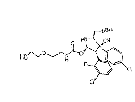 CC(C)(C)C[C@@H]1N[C@H](OC(=O)NCCOCCO)[C@H](c2cccc(Cl)c2F)[C@@]1(C#N)c1ccc(Cl)cc1